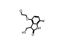 O=C1Nc2c(F)ccc(OCCCl)c2C1CS